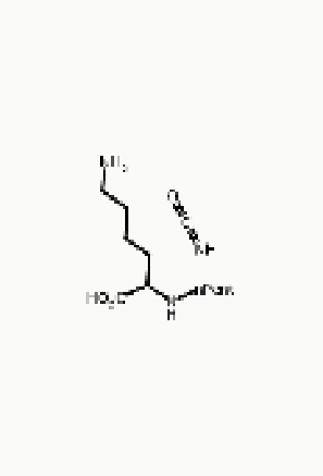 CCCCCNC(CCCCN)C(=O)O.N=C=O